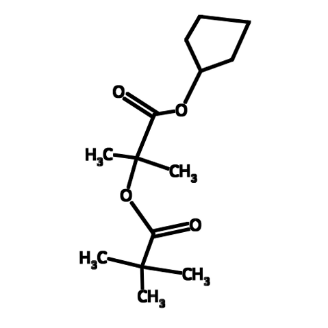 CC(C)(C)C(=O)OC(C)(C)C(=O)OC1CCCC1